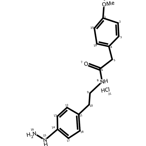 COc1ccc(CC(=O)NCCc2ccc(NN)cc2)cc1.Cl